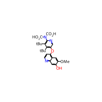 COc1cc2c(Oc3cnc(N(C(=O)O)C(=O)O)c(C(C)(C)C)c3C(C)(C)C)ccnc2cc1O